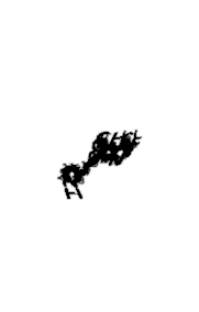 COc1cc2c(Cl)c(F)cnc2cc1OCCCC1CCCNC1